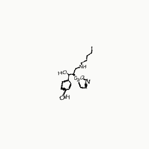 CCCCCNCC(=O)C(O)c1ccc(O)cc1.c1cnon1